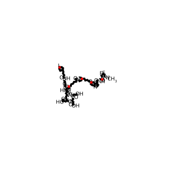 C/N=C/[C@H]1CC(F)(F)CN1C(=O)CNC(=O)c1ccnc2ccc(OCCCCC3CCN(C(=O)CCCCCNC(=O)[C@H](CCOCCNC(=O)CCCc4ccc(I)cc4)NC(=O)CN4CCN(CC(=O)O)CCN(CC(=O)O)CCN(CC(=O)O)CC4)CC3)cc12